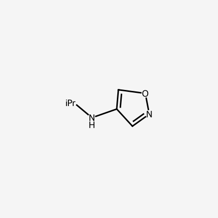 CC(C)Nc1cnoc1